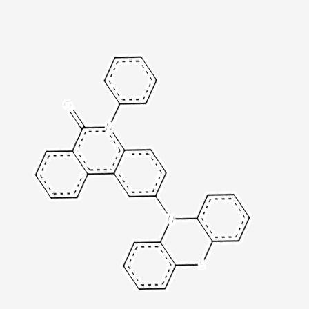 O=c1c2ccccc2c2cc(N3c4ccccc4Sc4ccccc43)ccc2n1-c1ccccc1